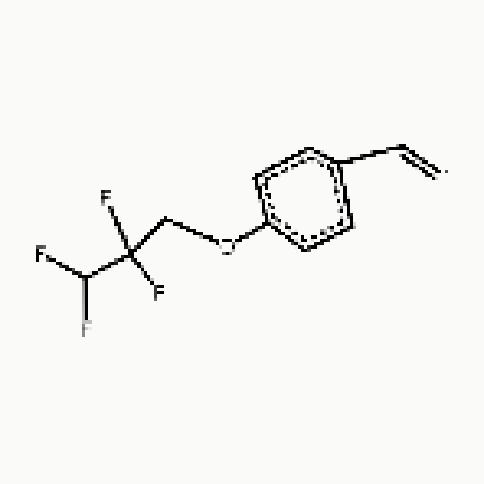 [CH]=Cc1ccc(OCC(F)(F)C(F)F)cc1